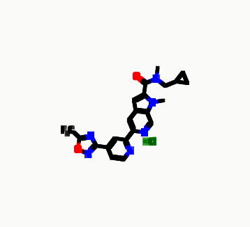 CN(CC1CC1)C(=O)c1cc2cc(-c3cc(-c4noc(C(F)(F)F)n4)ccn3)ncc2n1C.Cl